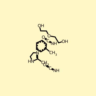 CC1=NCCN1.Cc1ccccc1.N=C=O.N=C=O.OCCOCCO